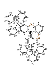 c1cc2c3c(c1)Sc1c(ccc4c1-c1ccccc1C41c4ccccc4-c4ccccc41)B3c1ccc3c(c1S2)-c1ccccc1C31c2ccccc2-c2ccccc21